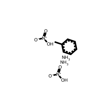 Cc1ccccc1.N.N.O=[N+]([O-])O.O=[N+]([O-])O